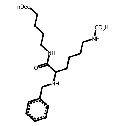 CCCCCCCCCCCCCCNC(=O)C(CCCCNC(=O)O)NCc1ccccc1